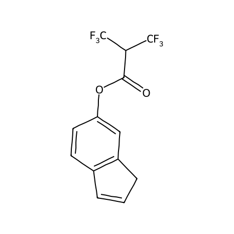 O=C(Oc1ccc2c(c1)CC=C2)C(C(F)(F)F)C(F)(F)F